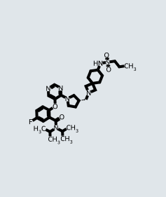 CCCS(=O)(=O)NC1CCC2(CC1)CN(C[C@@H]1CCN(c3ncncc3Oc3ccc(F)cc3C(=O)N(C(C)C)C(C)C)C1)C2